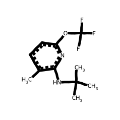 Cc1ccc(OC(F)(F)F)nc1NC(C)(C)C